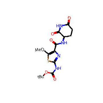 COc1sc(NC(=O)OC(C)(C)C)nc1C(=O)NC1CCC(=O)NC1=O